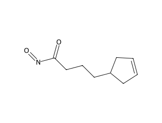 O=NC(=O)CCCC1CC=CC1